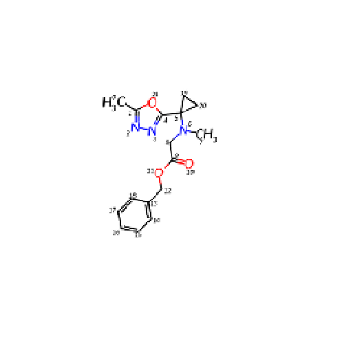 Cc1nnc(C2(N(C)CC(=O)OCc3ccccc3)CC2)o1